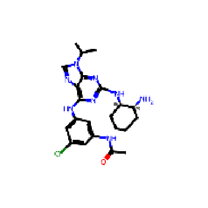 CC(=O)Nc1cc(Cl)cc(Nc2nc(N[C@@H]3CCCC[C@@H]3N)nc3c2ncn3C(C)C)c1